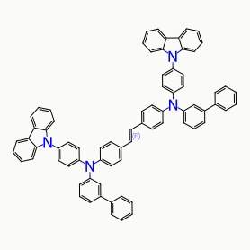 C(=C\c1ccc(N(c2ccc(-n3c4ccccc4c4ccccc43)cc2)c2cccc(-c3ccccc3)c2)cc1)/c1ccc(N(c2ccc(-n3c4ccccc4c4ccccc43)cc2)c2cccc(-c3ccccc3)c2)cc1